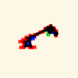 COc1cc2c(cc1-c1cccc(NC(=O)CCOCCOCCOCCOCCNC(=O)[C@@H](CCC(=O)O)NC(=O)CN3CCN(CC(=O)O)CCN(CC(=O)O)CCN(CC(=O)O)CC3)c1)-c1c(c(C(=O)N3CCOCC3(C)C)nn1-c1cc(Cl)cc(Cl)c1)CO2